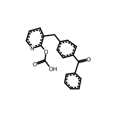 O=C(O)Oc1ncccc1Cc1ccc(C(=O)c2ccccc2)cc1